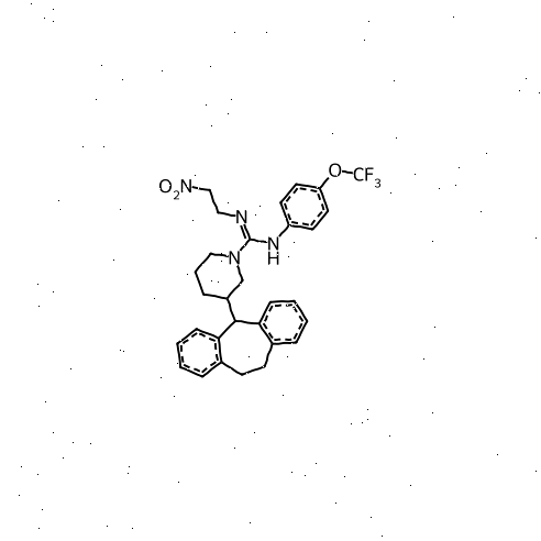 O=[N+]([O-])CC/N=C(/Nc1ccc(OC(F)(F)F)cc1)N1CCCC(C2c3ccccc3CCc3ccccc32)C1